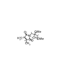 COCC(C)(CN1C(=O)C(C)=C(C)C1=O)OC